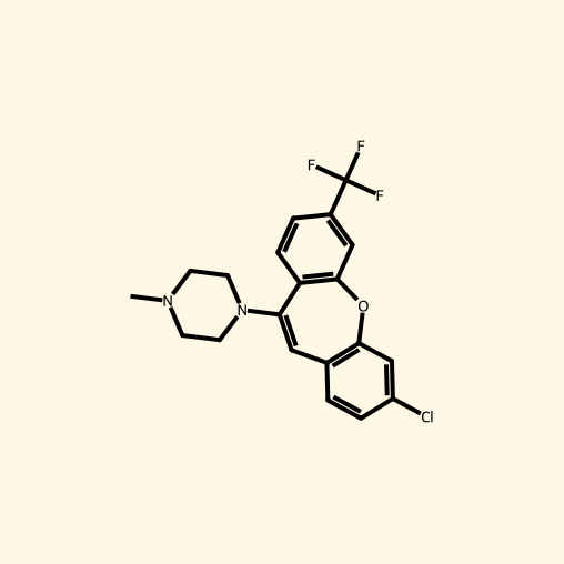 CN1CCN(C2=Cc3ccc(Cl)cc3Oc3cc(C(F)(F)F)ccc32)CC1